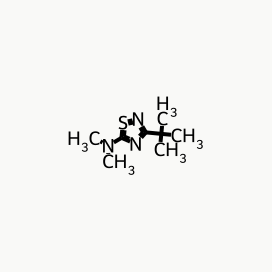 CN(C)c1nc(C(C)(C)C)ns1